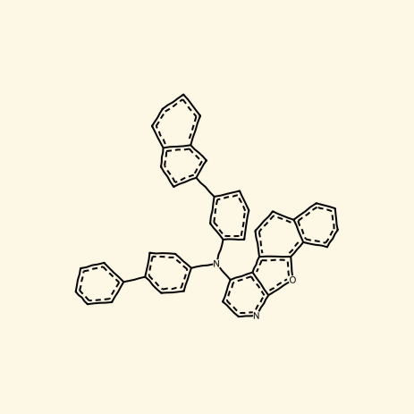 c1ccc(-c2ccc(N(c3cccc(-c4ccc5ccccc5c4)c3)c3ccnc4oc5c6ccccc6ccc5c34)cc2)cc1